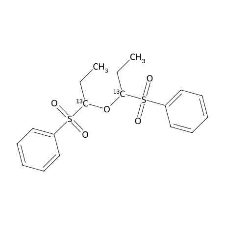 CC[13CH](O[13CH](CC)S(=O)(=O)c1ccccc1)S(=O)(=O)c1ccccc1